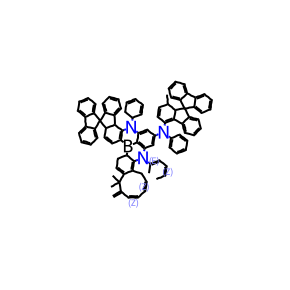 C=C1/C=C\C=C/CC2=C3C(CC=C2C1(C)C)B1C2=C(C4c5ccccc5C5(c6ccccc6-c6ccccc65)C4C=C2)N(C2C=CC=CC2)c2cc(N(C4=C5c6ccccc6C6(c7ccccc7-c7ccccc76)C5C(C)C=C4)c4ccccc4)cc(c21)N3/C(C)=C/C=C\C